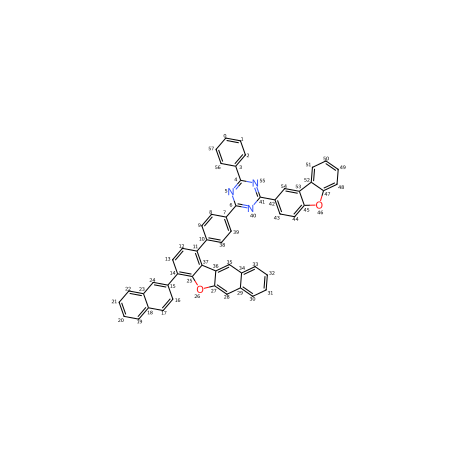 c1ccc(-c2nc(-c3ccc(-c4ccc(-c5ccc6ccccc6c5)c5oc6cc7ccccc7cc6c45)cc3)nc(-c3ccc4oc5ccccc5c4c3)n2)cc1